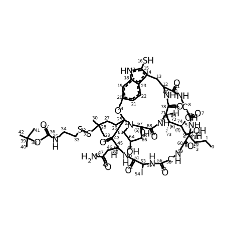 CC[C@H](C)[C@@H]1NC(=O)CNC(=O)C2Cc3c(S)[nH]c4cc(ccc34)OC(CCC(C)(C)SSCCNC(=O)OC(C)(C)C)(C(=O)[C@H](CC(N)=O)NC(=O)C(I)NC(=O)CNC1=O)N1CC(O)C[C@H]1C(=O)N[C@@H]([C@@H](C)[C@@H](O)CO)C(=O)N2